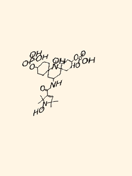 CC1(C)C=C(C(=O)NC2CC3(CCC(OP(=O)(O)O)CC3)N(O)C3(CCC(OP(=O)(O)O)CC3)C2)C(C)(C)N1O